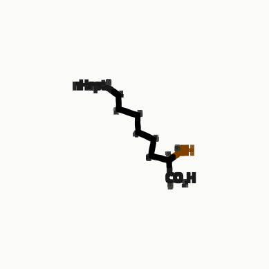 CCCCCCCCCCCCCC(S)C(=O)O